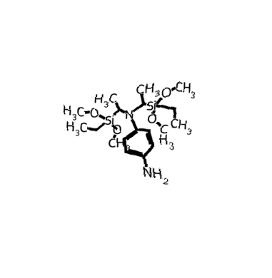 CC[Si](OC)(OC)C(C)N(c1ccc(N)cc1)C(C)[Si](CC)(OC)OC